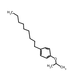 CCCCCCCCCc1ccc(OC(C)C)cc1